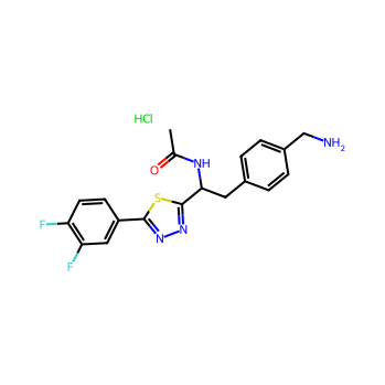 CC(=O)NC(Cc1ccc(CN)cc1)c1nnc(-c2ccc(F)c(F)c2)s1.Cl